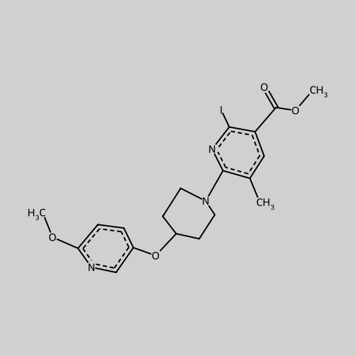 COC(=O)c1cc(C)c(N2CCC(Oc3ccc(OC)nc3)CC2)nc1I